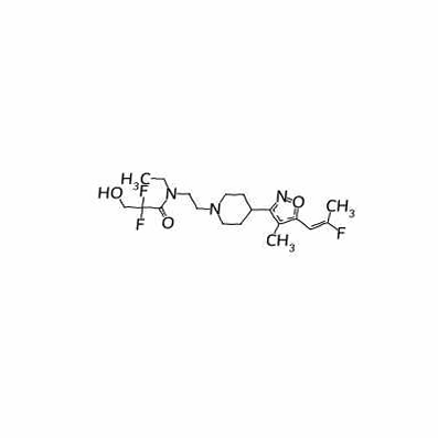 CCN(CCN1CCC(c2noc(/C=C(\C)F)c2C)CC1)C(=O)C(F)(F)CO